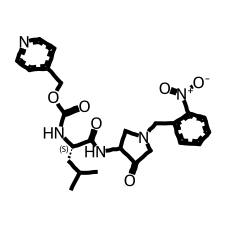 CC(C)C[C@H](NC(=O)OCc1ccncc1)C(=O)NC1CN(Cc2ccccc2[N+](=O)[O-])CC1=O